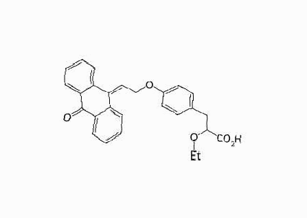 CCOC(Cc1ccc(OCC=C2c3ccccc3C(=O)c3ccccc32)cc1)C(=O)O